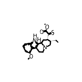 CC[C@@H]1CN2CCc3c([nH]c4cccc(OC)c34)[C@@H]2C[C@@H]1C(=S)C(=O)OC